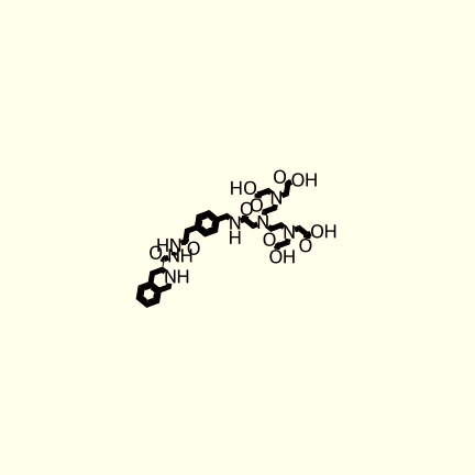 O=C(O)CN(CCN(CCN(CC(=O)O)CC(=O)O)CC(=O)NCc1ccc(CC(=O)NNC(=O)[C@H]2Cc3ccccc3CN2)cc1)CC(=O)O